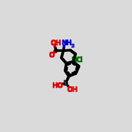 Cl.NC1(C(=O)O)CCc2ccc(B(O)O)cc2C1